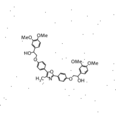 COc1ccc(C(O)COc2ccc(-c3nc(C)c(-c4ccc(OCC(O)c5ccc(OC)c(OC)c5)cc4)o3)cc2)cc1OC